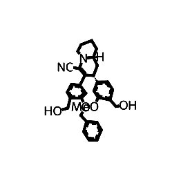 COc1cc([C@H]2C[C@@H]3CCCCN3C(C#N)=C2c2ccc(CO)c(OCc3ccccc3)c2)ccc1CO